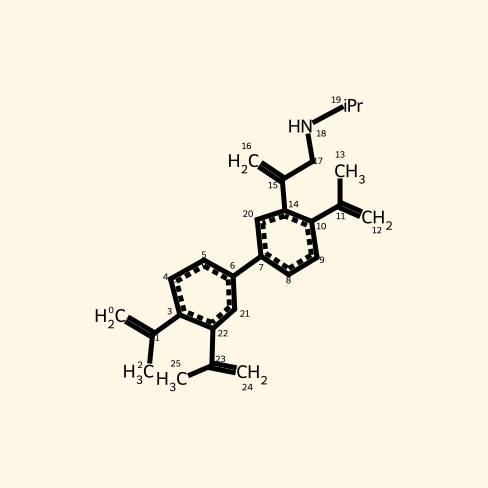 C=C(C)c1ccc(-c2ccc(C(=C)C)c(C(=C)CNC(C)C)c2)cc1C(=C)C